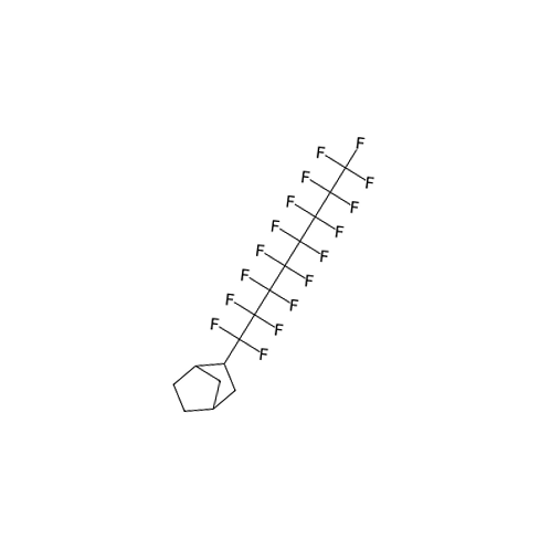 FC(F)(F)C(F)(F)C(F)(F)C(F)(F)C(F)(F)C(F)(F)C(F)(F)C(F)(F)C1CC2CCC1C2